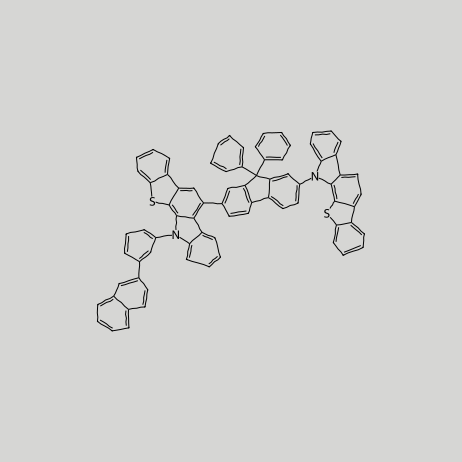 c1ccc(C2(c3ccccc3)c3cc(-c4cc5c6ccccc6sc5c5c4c4ccccc4n5-c4cccc(-c5ccc6ccccc6c5)c4)ccc3-c3ccc(-n4c5ccccc5c5ccc6c7ccccc7sc6c54)cc32)cc1